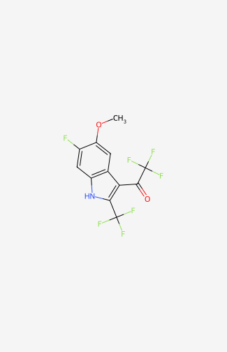 COc1cc2c(C(=O)C(F)(F)F)c(C(F)(F)F)[nH]c2cc1F